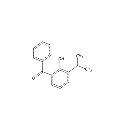 CC(C)c1cccc(C(=O)c2ccccc2)c1O